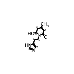 CC1CC(=O)N(CCc2cnc[nH]2)C(O)C1